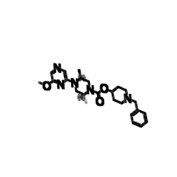 COc1cncc(N2C[C@@H](C)N(C(=O)OC3CCN(Cc4ccccc4)CC3)C[C@@H]2C)n1